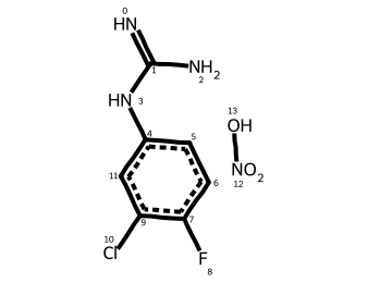 N=C(N)Nc1ccc(F)c(Cl)c1.O=[N+]([O-])O